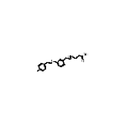 Cc1ccc(CCOc2cccc(CCNCCC(=O)O)c2)cc1